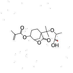 C=C(C)C(=O)OC1CCC2(C(C)(C)OC(C)C(C)(C)O)CC1OC2=O